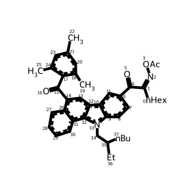 CCCCCC/C(=N/OC(C)=O)C(=O)c1ccc2c(c1)c1cc(C(=O)c3c(C)cc(C)cc3C)c3ccccc3c1n2CC(CC)CCCC